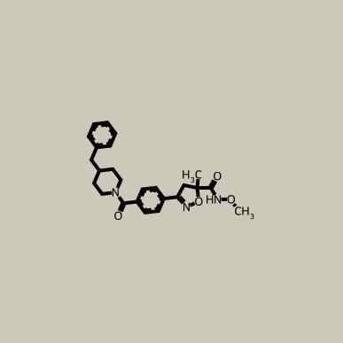 CONC(=O)C1(C)CC(c2ccc(C(=O)N3CCC(Cc4ccccc4)CC3)cc2)=NO1